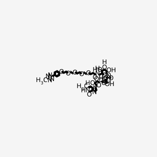 Cc1nnc(-c2ccc(OCCOCCOCCOCCOCCC(=O)NCC3O[C@H](OP(=O)(O)OP(=O)(O)OC[C@H]4O[C@@H](n5cnc6c(=O)[nH]c(C)cc65)[C@@H](O)C4O)C(O)[C@@H](O)[C@@H]3O)cc2)nn1